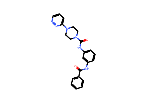 O=C(Nc1cccc(NC(=O)N2CCN(c3cccnn3)CC2)c1)c1ccccc1